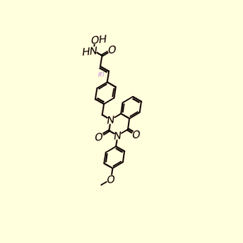 COc1ccc(-n2c(=O)c3ccccc3n(Cc3ccc(/C=C/C(=O)NO)cc3)c2=O)cc1